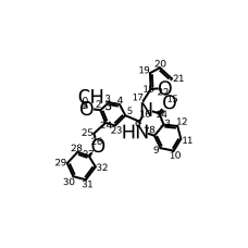 COc1ccc(C2Nc3ccccc3C(=O)N2Cc2ccco2)cc1COc1ccccc1